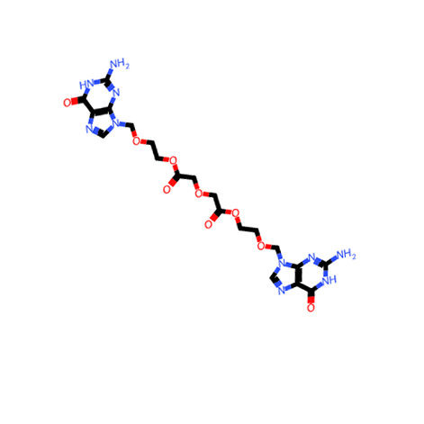 Nc1nc2c(ncn2COCCOC(=O)COCC(=O)OCCOCn2cnc3c(=O)[nH]c(N)nc32)c(=O)[nH]1